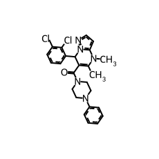 CC1=C(C(=O)N2CCN(c3ccccc3)CC2)C(c2cccc(Cl)c2Cl)n2nccc2N1C